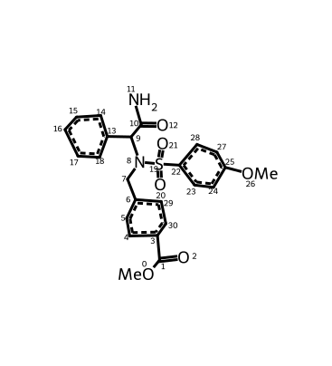 COC(=O)c1ccc(CN(C(C(N)=O)c2ccccc2)S(=O)(=O)c2ccc(OC)cc2)cc1